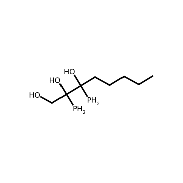 CCCCCC(O)(P)C(O)(P)CO